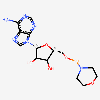 Nc1ncnc2c1ncn2[C@@H]1O[C@H](COPN2CCOCC2)C(O)C1O